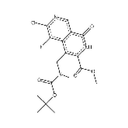 COC(=O)c1[nH]c(=O)c2cnc(Cl)c(F)c2c1CN(C)C(=O)OC(C)(C)C